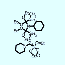 CCOC(OCC)([SiH2]C)N(C1CCCCC1)C(OCC)(OCC)[SiH2]C.CCO[Si](CN1CCCCC1)(OCC)OCC